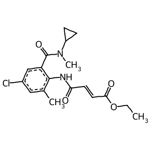 CCOC(=O)/C=C/C(=O)Nc1c(C)cc(Cl)cc1C(=O)N(C)C1CC1